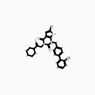 CCc1cc2c(=O)n(CC(=O)C3CCCCC3)c(=O)n(Cc3ccc(-c4ccccc4C#N)cc3)c2s1